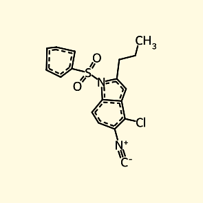 [C-]#[N+]c1ccc2c(cc(CCC)n2S(=O)(=O)c2ccccc2)c1Cl